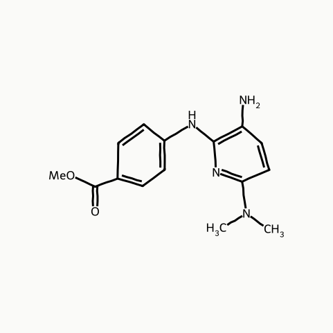 COC(=O)c1ccc(Nc2nc(N(C)C)ccc2N)cc1